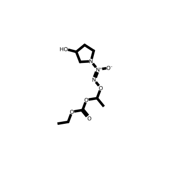 CCOC(=O)OC(C)ON=[N+]([O-])N1CCC(O)C1